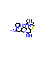 CC(=N)N1CCSC(CC(=N)N2CCCC(CC(=N)N3CCCC3)C2)C1